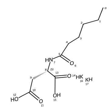 CCCCCC(=O)N[C@@H](CC(=O)O)C(=O)O.[KH].[KH]